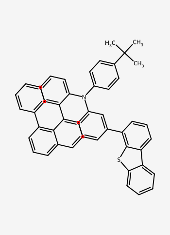 CC(C)(C)c1ccc(N(c2cccc(-c3cccc4c3sc3ccccc34)c2)c2ccccc2-c2cccc3cccc(-c4ccccc4)c23)cc1